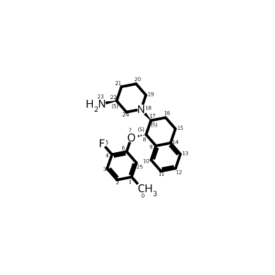 Cc1ccc(F)c(O[C@H]2c3ccccc3CC[C@@H]2N2CCC[C@H](N)C2)c1